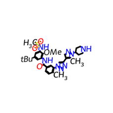 COc1c(NC(=O)c2ccc(C)c(-n3cc(-c4cnn(C5CCNCC5)c4C)nn3)c2)cc(C(C)(C)C)cc1NS(C)(=O)=O